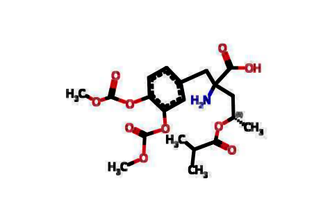 COC(=O)Oc1ccc(CC(N)(C[C@H](C)OC(=O)C(C)C)C(=O)O)cc1OC(=O)OC